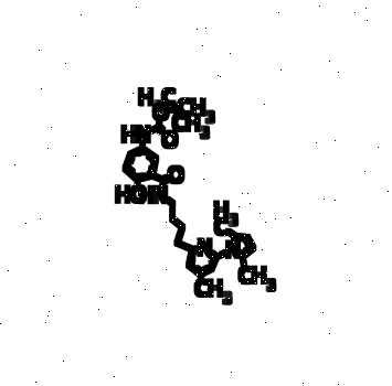 Cc1cc(CCCCNC(=O)c2cc(NC(=O)OC(C)(C)C)ccc2O)nc(-n2c(C)ccc2C)c1